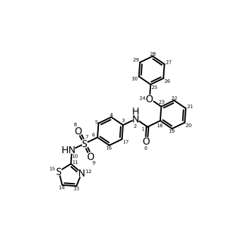 O=C(Nc1ccc(S(=O)(=O)Nc2nccs2)cc1)c1ccccc1Oc1ccccc1